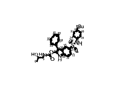 CC(O)CNC(=O)Oc1[nH]c2ccc(S(=O)(=O)Nc3ccc(C(C)(C)C)cc3)cc2c1-c1ccccc1